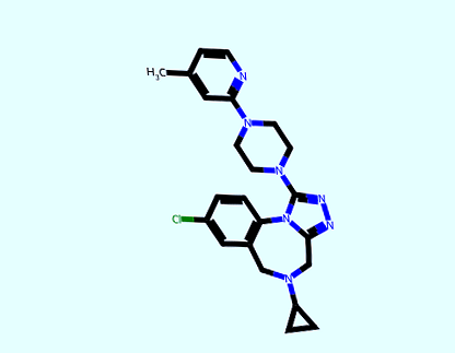 Cc1ccnc(N2CCN(c3nnc4n3-c3ccc(Cl)cc3CN(C3CC3)C4)CC2)c1